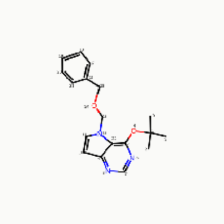 CC(C)(C)Oc1ncnc2ccn(COCc3ccccc3)c12